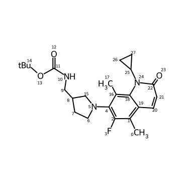 Cc1c(F)c(N2CCC(CNC(=O)OC(C)(C)C)C2)c(C)c2c1ccc(=O)n2C1CC1